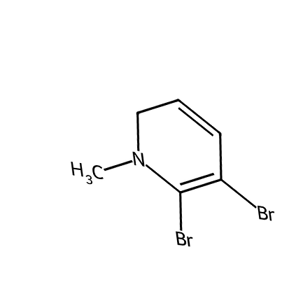 CN1CC=CC(Br)=C1Br